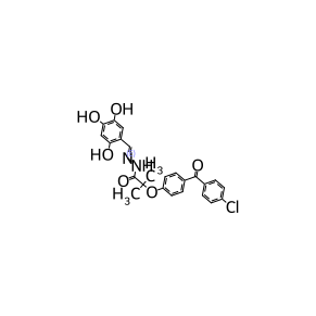 CC(C)(Oc1ccc(C(=O)c2ccc(Cl)cc2)cc1)C(=O)N/N=C/c1cc(O)c(O)cc1O